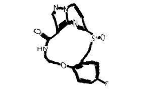 O=C1NCCOc2ccc(F)cc2C[S+]([O-])c2ccn3ncc1c3n2